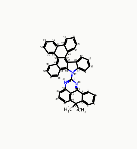 CC1(C)c2ccccc2-c2nc(-n3c4ccccc4c4c5c6ccccc6c6ccccc6c5c5ccccc5c43)nc3cccc1c23